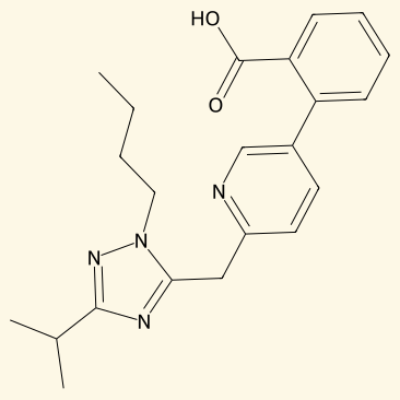 CCCCn1nc(C(C)C)nc1Cc1ccc(-c2ccccc2C(=O)O)cn1